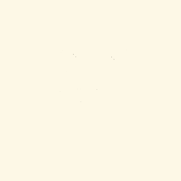 CCO[Si](CC)(CC(CC)(CCCN(C)C)CCCN(C)C)OCC